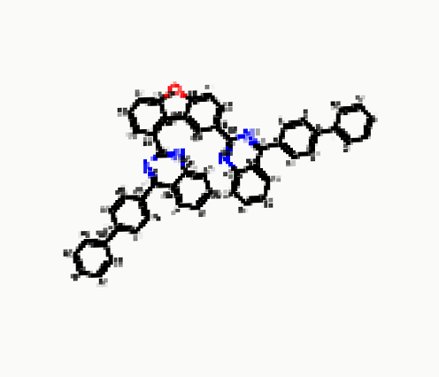 c1ccc(-c2ccc(-c3nc(-c4ccc5oc6cccc(-c7nc(-c8ccc(-c9ccccc9)cc8)c8ccccc8n7)c6c5c4)nc4ccccc34)cc2)cc1